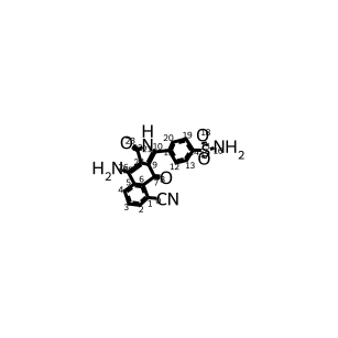 N#Cc1cccc2c1C(=O)C1=C(c3ccc(S(N)(=O)=O)cc3)NC(=O)C1=C2N